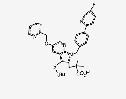 CC(C)(C)Sc1c(CC(C)(C)C(=O)O)n(Cc2ccc(-c3ccc(F)cn3)cc2)c2ncc(OCc3ccccn3)cc12